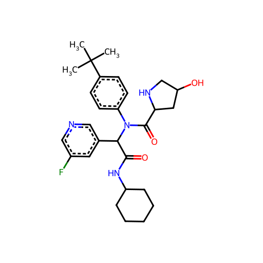 CC(C)(C)c1ccc(N(C(=O)C2CC(O)CN2)C(C(=O)NC2CCCCC2)c2cncc(F)c2)cc1